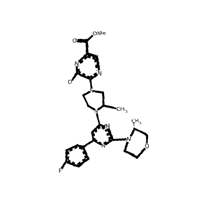 COC(=O)c1cnc(N2CCN(c3cc(-c4ccc(F)cc4)nc(N4CCOC[C@H]4C)n3)C(C)C2)c(Cl)n1